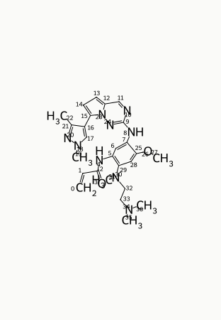 C=CC(=O)Nc1cc(Nc2ncc3ccc(-c4cn(C)nc4C)n3n2)c(OC)cc1N(C)CCN(C)C